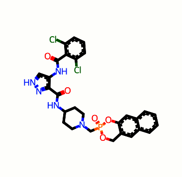 O=C(NC1CCN(CP2(=O)OCc3cc4ccccc4cc3O2)CC1)c1n[nH]cc1NC(=O)c1c(Cl)cccc1Cl